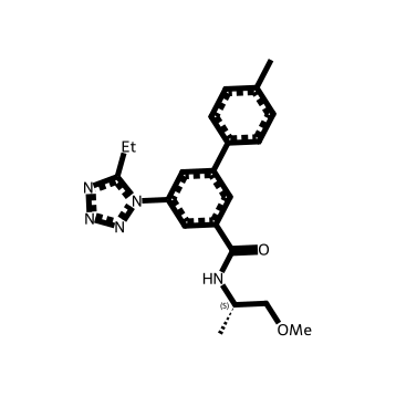 CCc1nnnn1-c1cc(C(=O)N[C@@H](C)COC)cc(-c2ccc(C)cc2)c1